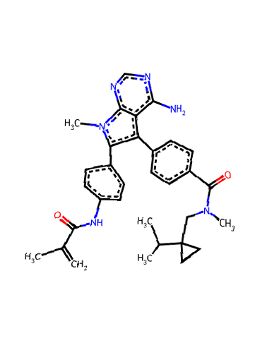 C=C(C)C(=O)Nc1ccc(-c2c(-c3ccc(C(=O)N(C)CC4(C(C)C)CC4)cc3)c3c(N)ncnc3n2C)cc1